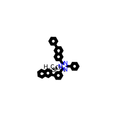 C[Si]1(C)c2cc3ccccc3cc2-c2cccc(-c3nc(-c4ccccc4)nc(-c4ccc5cc(-c6ccccc6)ccc5c4)n3)c21